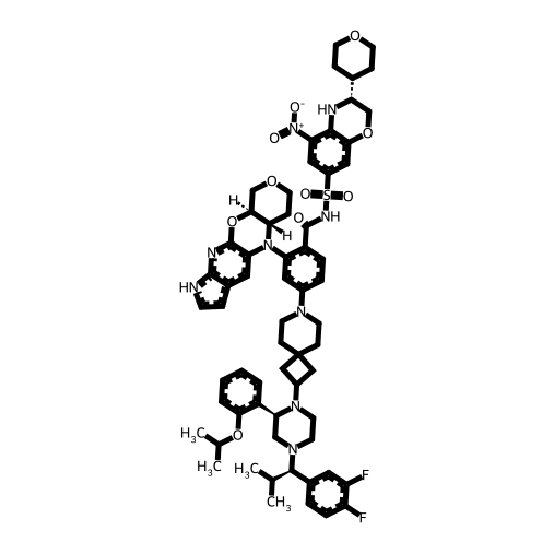 CC(C)Oc1ccccc1[C@@H]1CN([C@@H](c2ccc(F)c(F)c2)C(C)C)CCN1C1CC2(CCN(c3ccc(C(=O)NS(=O)(=O)c4cc5c(c([N+](=O)[O-])c4)N[C@H](C4CCOCC4)CO5)c(N4c5cc6cc[nH]c6nc5O[C@H]5COCC[C@@H]54)c3)CC2)C1